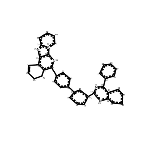 C1=Cc2c(c(-c3ccc(-c4cccc(-c5nc(-c6ccccc6)c6ccccc6n5)c4)cc3)nc3c2nc2ccccn23)CC1